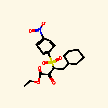 CCOC(=O)C(=O)C(CC1CCCCC1)S(=O)(=O)c1ccc([N+](=O)[O-])cc1